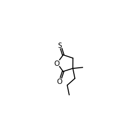 CCCC1(C)CC(=S)OC1=O